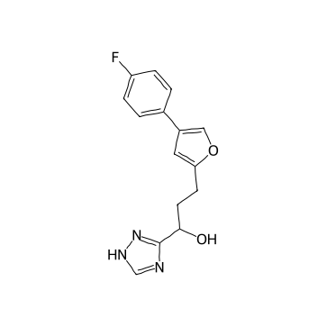 OC(CCc1cc(-c2ccc(F)cc2)co1)c1nc[nH]n1